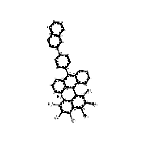 Bc1c(B)c(B)c2c(-c3c4ccccc4c(-c4ccc(-c5ccc6ccccc6c5)cc4)c4ccccc34)c(B)c(B)c(B)c2c1B